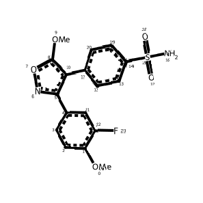 COc1ccc(-c2noc(OC)c2-c2ccc(S(N)(=O)=O)cc2)cc1F